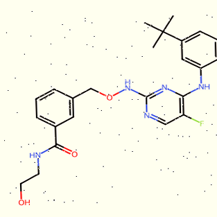 CC(C)(C)c1cccc(Nc2nc(NOCc3cccc(C(=O)NCCO)c3)ncc2F)c1